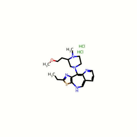 CCc1nc2c(s1)NC=c1cccnc1=C2N1CCN(C)C(CCOC)C1.Cl.Cl